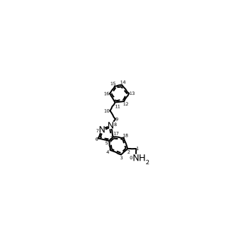 NCc1ccc2cnn(CCc3ccccc3)c2c1